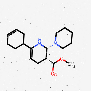 COC(O)[C@@H]1CC=C(C2CC=CCC2)N[C@@H]1N1CCCCC1